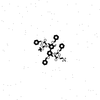 CC(C)(C)OC(=O)N[C@@H](Cc1cc(-c2ccc(OCc3ccccc3)c(C[C@H](NC(=O)OCc3ccccc3)C(=O)OCC[Si](C)(C)C)c2)cc(F)c1OCc1ccccc1)C(=O)OCc1ccccc1